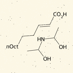 CC(O)NC(C)O.CCCCCCCCCCC=CC(=O)O